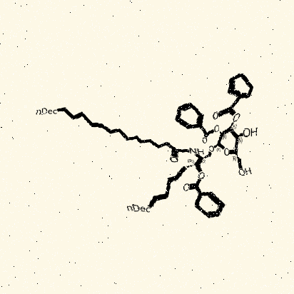 CCCCCCCCCCCCCCCCCCCCCCCC(=O)N[C@@H](CO[C@@H]1O[C@H](CO)[C@H](O)[C@H](OC(=O)c2ccccc2)[C@H]1OC(=O)c1ccccc1)[C@@H](CCCCCCCCCCCCCCC)OC(=O)c1ccccc1